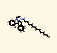 CCCCCCCCCCCCCCN1C=CN(c2ccccc2)C1(Cc1ccccc1)C(CC)c1ccccc1